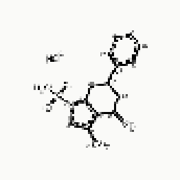 Cc1cn(S(C)(=O)=O)c2c1C(=N)CC(c1ccccc1)C2.Cl